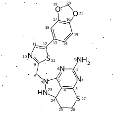 Nc1nc2c3c(n1)N(Cc1ncc(-c4ccc5c(c4)OCO5)s1)NC3CCS2